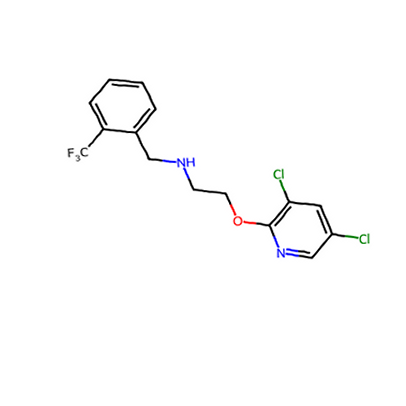 FC(F)(F)c1ccccc1CNCCOc1ncc(Cl)cc1Cl